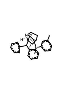 Cc1cccc(N(C)[C@@H]2C3CCN(CC3)[C@@H]2C(c2ccccc2)c2ccccc2)c1